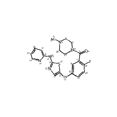 CC(=O)N1CCN(C(=O)c2cc(Oc3cnc(Nc4ccccn4)s3)ccc2C)CC1